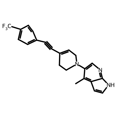 Cc1c(N2CC=C(C#Cc3ccc(C(F)(F)F)cc3)CC2)cnc2[nH]ccc12